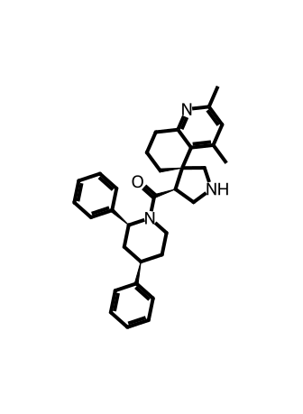 Cc1cc(C)c2c(n1)CCC[C@]21CNC[C@H]1C(=O)N1CC[C@@H](c2ccccc2)C[C@H]1c1ccccc1